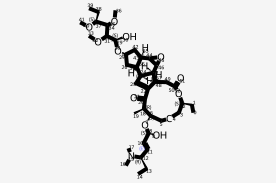 CC[C@H]1CCC[C@H](O[C@H](O)/C=C/[C@@H](CC)N(C)C)[C@@H](C)C(=O)C2=C[C@H]3[C@@H]4C[C@H](O[C@H](O)C(OC)C(OC)[C@H](CC)OC)C[C@H]4C4OC4[C@H]3[C@@H]2CC(=O)O1